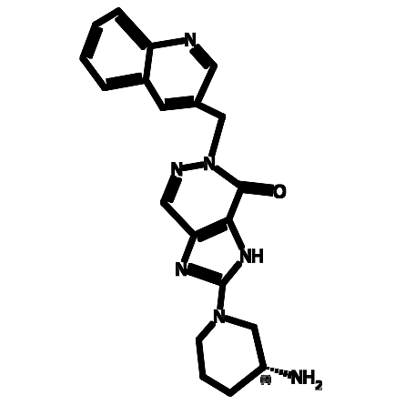 N[C@@H]1CCCN(c2nc3cnn(Cc4cnc5ccccc5c4)c(=O)c3[nH]2)C1